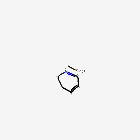 C1=CCCN=C1.CC(=O)O